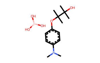 CN(C)c1ccc(OC(C)(C)C(C)(C)O)cc1.OB(O)O